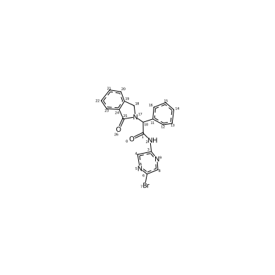 O=C(Nc1cnc(Br)cn1)C(c1ccccc1)N1Cc2ccccc2C1=O